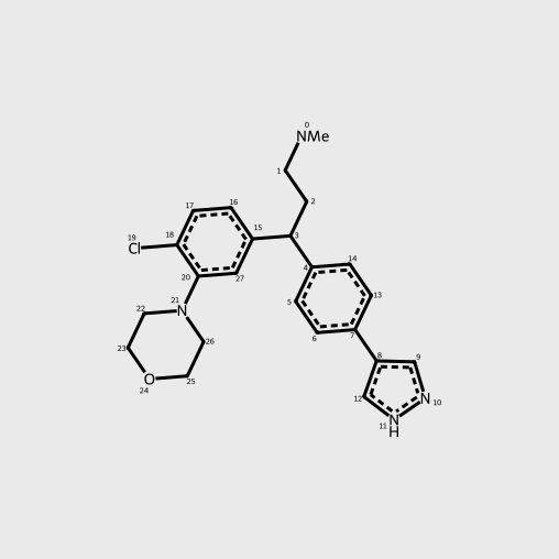 CNCCC(c1ccc(-c2cn[nH]c2)cc1)c1ccc(Cl)c(N2CCOCC2)c1